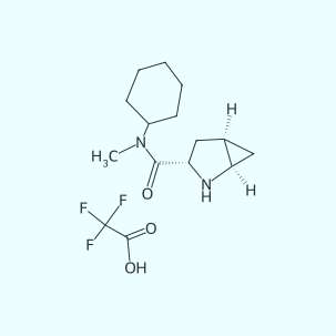 CN(C(=O)[C@@H]1C[C@H]2C[C@H]2N1)C1CCCCC1.O=C(O)C(F)(F)F